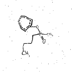 CCCCP(C)(=O)Oc1ccccc1